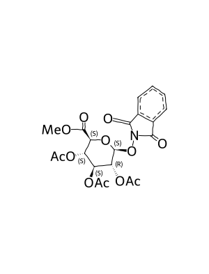 COC(=O)[C@H]1O[C@@H](ON2C(=O)c3ccccc3C2=O)[C@H](OC(C)=O)[C@@H](OC(C)=O)[C@@H]1OC(C)=O